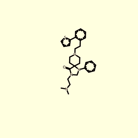 CN(C)CCN1CN(c2ccccc2)C2(CCN(CCc3ccccc3-c3cccs3)CC2)C1=O